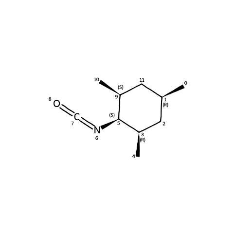 C[C@H]1C[C@@H](C)[C@@H](N=C=O)[C@@H](C)C1